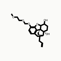 C=CCN1CC[C@]23c4c5ccc(OCOCCOC)c4OC2C(O)CC[C@@]3(O)C1C5